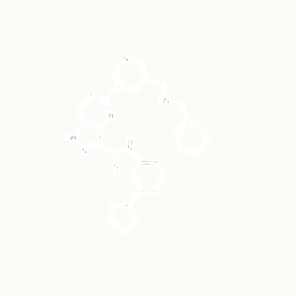 c1ccc(CNCc2cncc(-c3ccc4[nH]nc(-c5cc6c(-c7cccs7)cccc6[nH]5)c4n3)c2)cc1